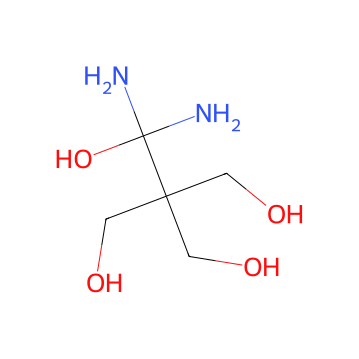 NC(N)(O)C(CO)(CO)CO